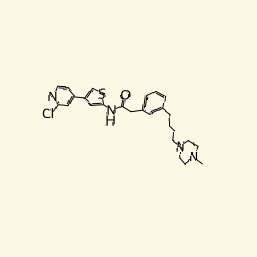 CN1CCN(CCCCc2cccc(CC(=O)Nc3cc(-c4ccnc(Cl)c4)cs3)c2)CC1